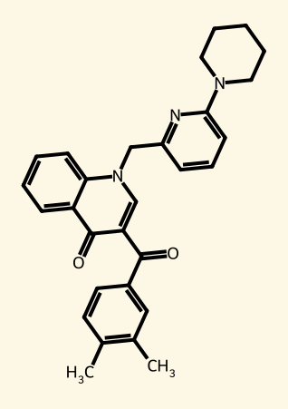 Cc1ccc(C(=O)c2cn(Cc3cccc(N4CCCCC4)n3)c3ccccc3c2=O)cc1C